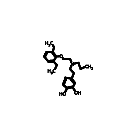 CCCN(CCOc1c(CC)cccc1CC)CCc1ccc(O)c(O)c1